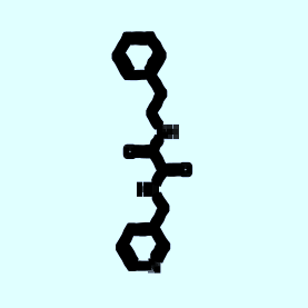 O=C(NCCc1ccccc1)C(=O)NCc1cccnc1